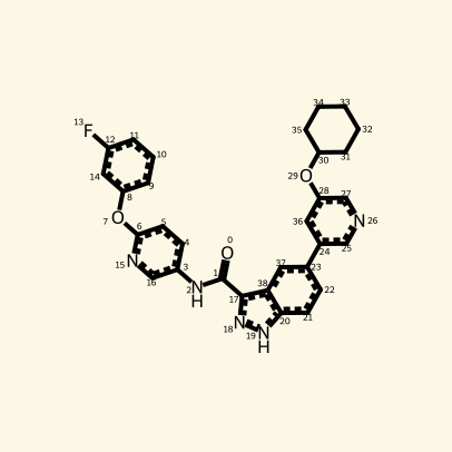 O=C(Nc1ccc(Oc2cccc(F)c2)nc1)c1n[nH]c2ccc(-c3cncc(OC4CCCCC4)c3)cc12